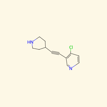 Clc1ccncc1C#CC1CCNCC1